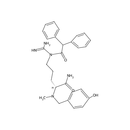 CN(Cc1ccc(O)cc1)[C@H](CCCN(C(=N)N)C(=O)C(c1ccccc1)c1ccccc1)C(N)=O